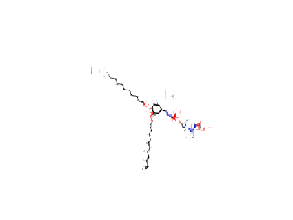 CCCCCCCCCCCCOc1ccc(/C=C/C(=O)OCC[N+](C)(C)CCO)cc1OCCCCCCCCCCCC.[Br-]